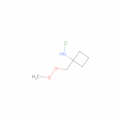 COOCC1(NCl)CCC1